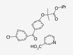 CC(C)OC(=O)C(C)(C)Oc1ccc(C(=O)c2ccc(Cl)cc2)cc1.O=C(O)c1cccnc1